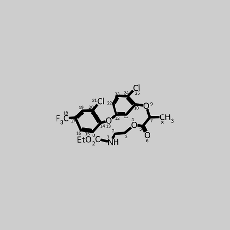 CCOC(=O)NCCOC(=O)C(C)Oc1cc(Oc2ccc(C(F)(F)F)cc2Cl)ccc1Cl